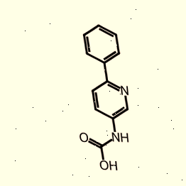 O=C(O)Nc1ccc(-c2ccccc2)nc1